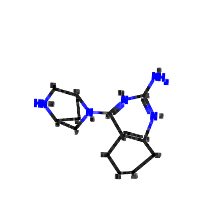 Nc1nc2c(c(N3CC4CC3CN4)n1)CCCC2